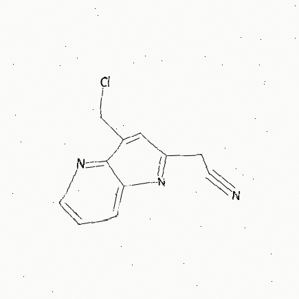 N#CCc1cc(CCl)c2ncccc2n1